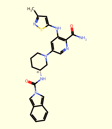 Cc1cc(Nc2cc(N3CCC[C@@H](NC(=O)n4cc5ccccc5c4)C3)cnc2C(N)=O)sn1